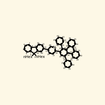 CCCCCCC1(CCCCCC)c2ccccc2-c2ccc(-c3ccc(-c4cc(-c5ccccc5)c5c6ccccc6c6ccccc6c5c4-c4ccccc4)nc3)cc21